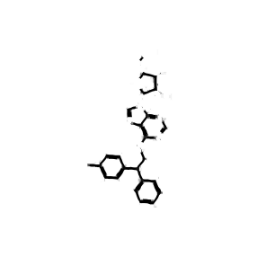 OC[C@H]1O[C@@H](n2cnc3c(NCC(c4ccccc4)c4ccc(Cl)cc4)ncnc32)[C@H](O)[C@@H]1O